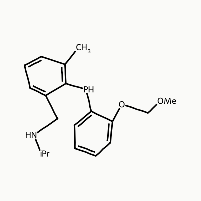 COCOc1ccccc1Pc1c(C)cccc1CNC(C)C